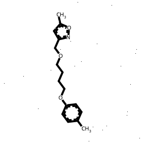 Cc1ccc(OCCCCOCc2cc(C)on2)cc1